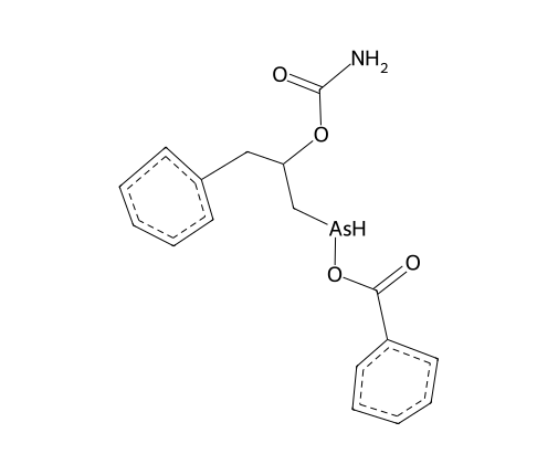 NC(=O)OC(C[AsH]OC(=O)c1ccccc1)Cc1ccccc1